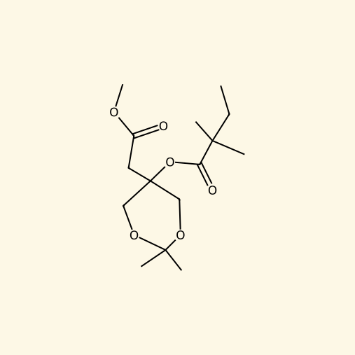 CCC(C)(C)C(=O)OC1(CC(=O)OC)COC(C)(C)OC1